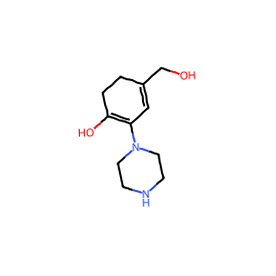 OCC1=CC(N2CCNCC2)=C(O)CC1